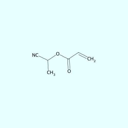 C=CC(=O)OC(C)C#N